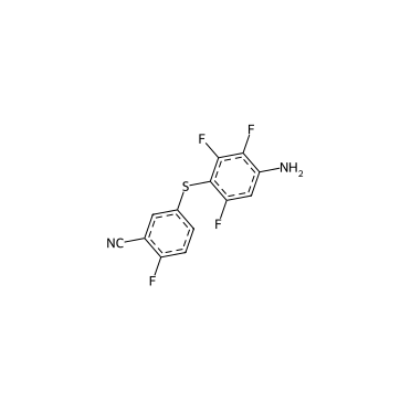 N#Cc1cc(Sc2c(F)cc(N)c(F)c2F)ccc1F